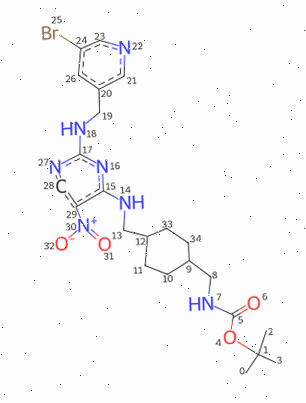 CC(C)(C)OC(=O)NCC1CCC(CNc2nc(NCc3cncc(Br)c3)ncc2[N+](=O)[O-])CC1